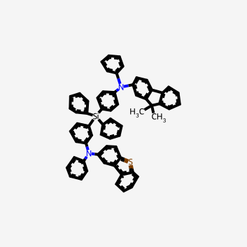 CC1(C)c2ccccc2-c2ccc(N(c3ccccc3)c3ccc([Si](c4ccccc4)(c4ccccc4)c4cccc(N(c5ccccc5)c5ccc6sc7ccccc7c6c5)c4)cc3)cc21